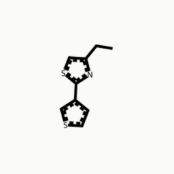 CCc1csc(-c2ccsc2)n1